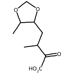 CC(CC1OCOC1C)C(=O)C(=O)O